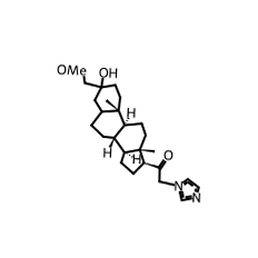 COCC1(O)CC[C@@]2(C)C(CC[C@H]3[C@@H]4CC[C@H](C(=O)Cn5ccnc5)[C@@]4(C)CC[C@@H]32)C1